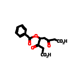 O=C(O)CC(=O)CC(OC(=O)c1ccccc1)C(=O)CC(=O)O